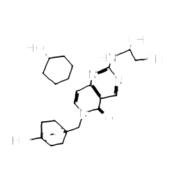 CC[C@H](C)Nc1ncc2c(=O)n(CC34CCC(O)(CC3)CC4)cc([C@H]3CC[C@H](O)CC3)c2n1